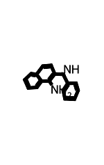 N=C(c1ccccc1)c1ccc2ccccc2c1N